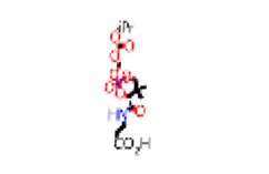 CC(C)OC(=O)OCOP1(=O)OCC(C)(C)[C@H](C(=O)NCCC(=O)O)O1